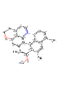 Cc1cc2c(C)cccc2c(-c2ccc3c4c(ccnc24)CCO3)c1[C@@H](OC(C)(C)C)C(=O)O